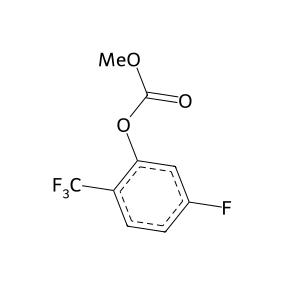 COC(=O)Oc1cc(F)ccc1C(F)(F)F